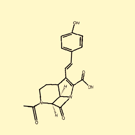 CC(=O)N1CCC2C(/C=C/c3ccc(O)cc3)=C(C(=O)O)N3C(=O)[C@@H]1[C@@H]23